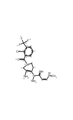 CN/C=C\C(=N)N(N)C1=C(N)CN(C(=O)c2cccc(C(F)(F)F)c2Cl)CC1